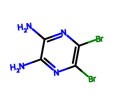 Nc1nc(Br)c(Br)nc1N